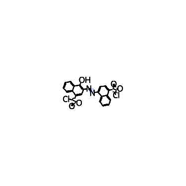 O=S(=O)(Cl)c1ccc(/N=N/c2cc(S(=O)(=O)Cl)c3ccccc3c2O)c2ccccc12